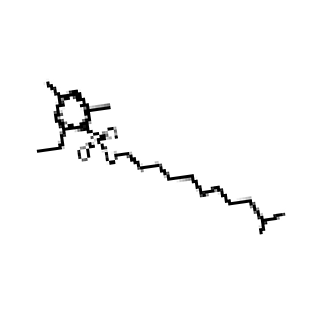 CCc1cc(C)cc(C)c1S(=O)(=O)OCCCCCCCCCC(C)C